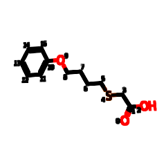 O=C(O)CSCCCCOc1ccccc1